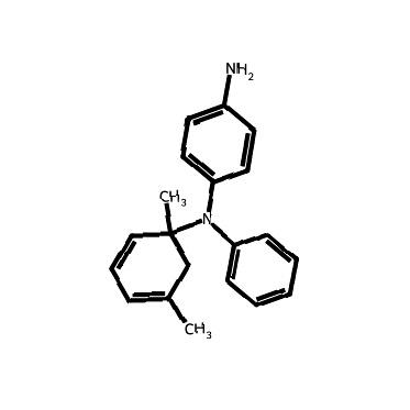 CC1=CC=CC(C)(N(c2ccccc2)c2ccc(N)cc2)C1